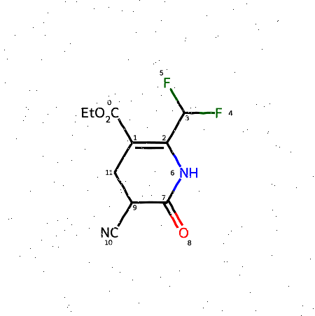 CCOC(=O)C1=C(C(F)F)NC(=O)C(C#N)C1